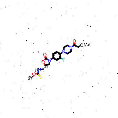 COCC(=O)N1CCN(c2ccc(N3C[C@H](CNC(=S)OC(C)C)OC3=O)cc2F)CC1